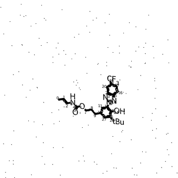 CC=CNC(=O)OCCCc1cc(-n2nc3ccc(C(F)(F)F)cc3n2)c(O)c(C(C)(C)C)c1